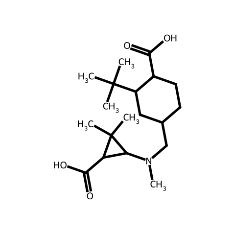 CN(CC1CCC(C(=O)O)C(C(C)(C)C)C1)C1C(C(=O)O)C1(C)C